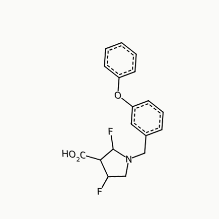 O=C(O)C1C(F)CN(Cc2cccc(Oc3ccccc3)c2)C1F